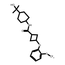 CC(C)(O)C1CCC(NC(=O)C2CC(Oc3ccccc3OC(F)(F)F)C2)CC1